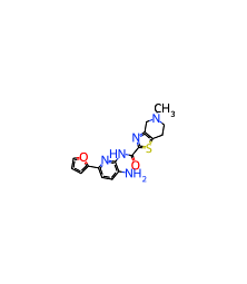 CN1CCc2sc(C(=O)Nc3nc(-c4ccco4)ccc3N)nc2C1